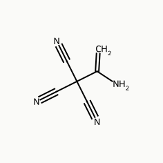 C=C(N)C(C#N)(C#N)C#N